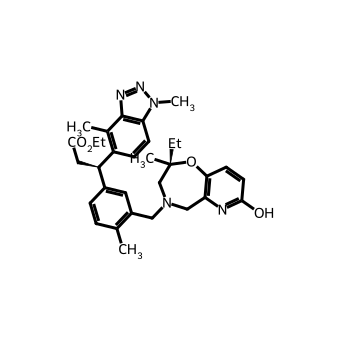 CCOC(=O)C[C@H](c1ccc(C)c(CN2Cc3nc(O)ccc3O[C@](C)(CC)C2)c1)c1ccc2c(nnn2C)c1C